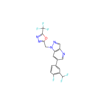 Fc1ccc(-c2cnc3cnn(Cc4nnc(C(F)(F)F)o4)c3c2)cc1C(F)F